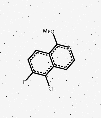 COc1nccc2c(Cl)c(F)ccc12